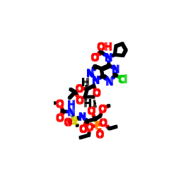 CCOP(=O)(OCC)C(COC)(OC[C@H]1O[C@@H](n2ncc3c(N(C(=O)O)C4CCCC4)nc(Cl)nc32)[C@@H]2OC(C)(C)O[C@@H]21)C(=O)N=S(C)(=O)NC(=O)OC